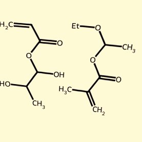 C=C(C)C(=O)OC(C)OCC.C=CC(=O)OC(O)C(C)O